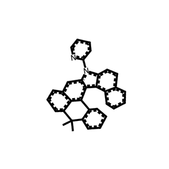 CC1(C)c2ccccc2-c2c3c1cccc3cc1c2c2c3ccccc3ccc2n1-c1ccccn1